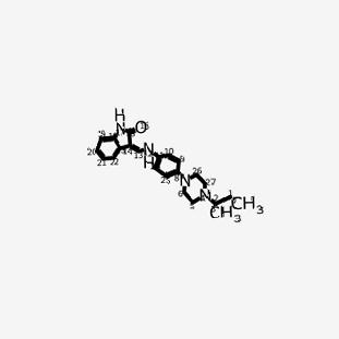 CCC(C)N1CCN(c2ccc(NC=C3C(=O)Nc4ccccc43)cc2)CC1